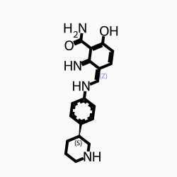 N=C1C(C(N)=O)=C(O)C=C/C1=C/Nc1ccc([C@@H]2CCCNC2)cc1